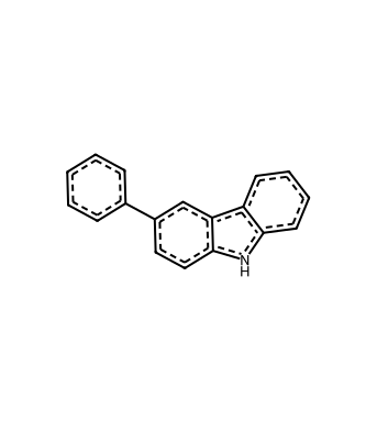 c1ccc(-c2ccc3[nH]c4ccccc4c3c2)cc1